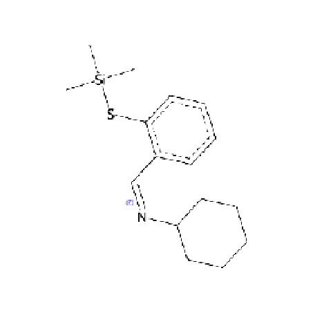 C[Si](C)(C)Sc1ccccc1/C=N\C1CCCCC1